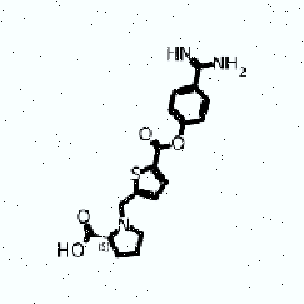 N=C(N)c1ccc(OC(=O)c2ccc(CN3CCC[C@H]3C(=O)O)s2)cc1